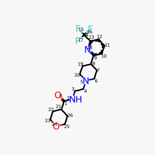 O=C(NCCN1CCC(c2cccc(C(F)(F)F)n2)CC1)C1CCOCC1